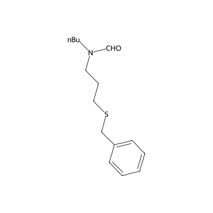 CCCCN(C=O)CCCSCc1ccccc1